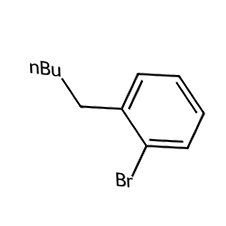 CCCCCc1ccccc1Br